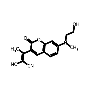 CC(=C(C#N)C#N)c1cc2ccc(N(C)CCO)cc2oc1=O